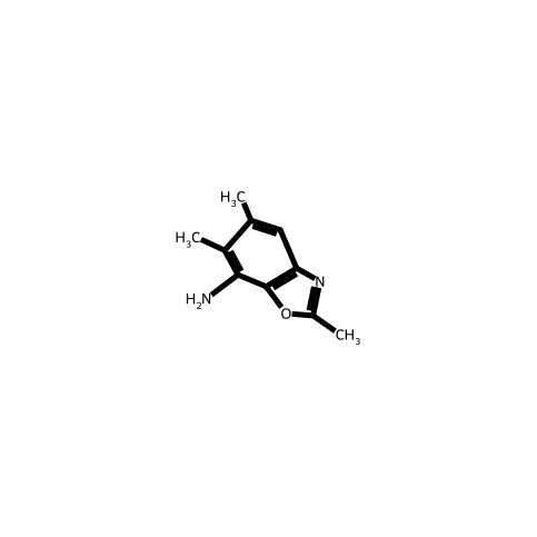 Cc1nc2cc(C)c(C)c(N)c2o1